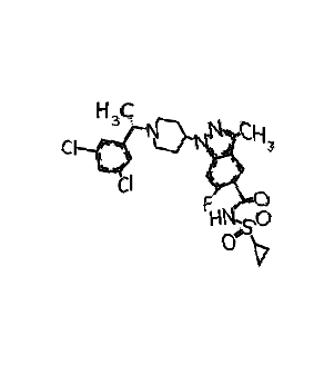 Cc1nn(C2CCN([C@@H](C)c3cc(Cl)cc(Cl)c3)CC2)c2cc(F)c(C(=O)NS(=O)(=O)C3CC3)cc12